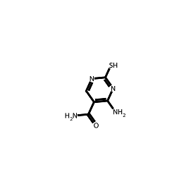 NC(=O)c1cnc(S)nc1N